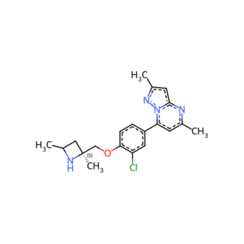 Cc1cc(-c2ccc(OC[C@]3(C)CC(C)N3)c(Cl)c2)n2nc(C)cc2n1